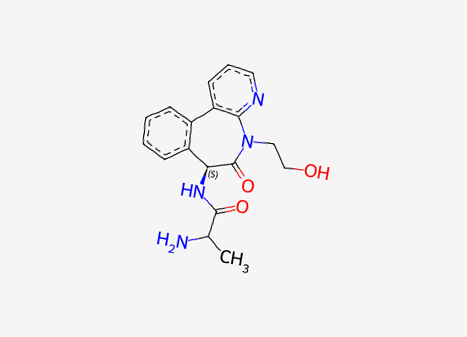 CC(N)C(=O)N[C@@H]1C(=O)N(CCO)c2ncccc2-c2ccccc21